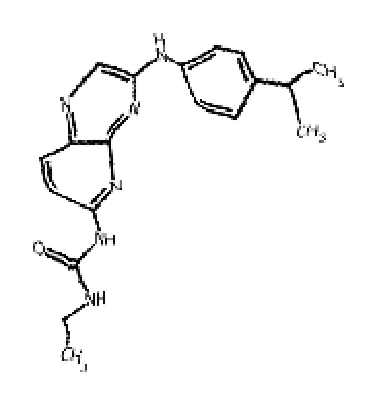 CCNC(=O)Nc1ccc2ncc(Nc3ccc(C(C)C)cc3)nc2n1